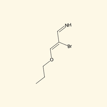 CCCO/C=C(\Br)C=N